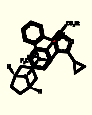 CCOC(=O)C#Cc1ccc(N2[C@@H]3CC[C@H]2CC(OCc2c(-c4ccccc4OC(F)(F)F)noc2C2CC2)C3)nc1